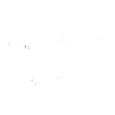 Cc1ccc(S(=O)(=O)c2ccc3c(c2)c(CCN)cn3C)cc1.Cl